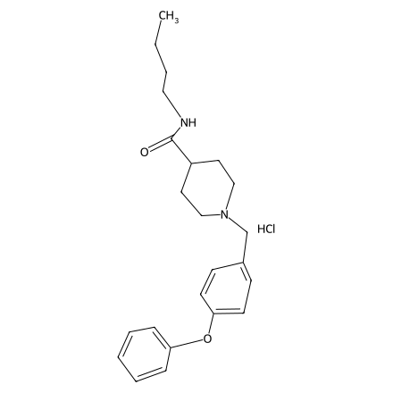 CCCCNC(=O)C1CCN(Cc2ccc(Oc3ccccc3)cc2)CC1.Cl